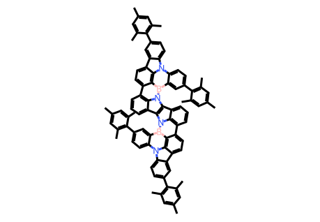 Cc1cc(C)c(-c2ccc3c(c2)B2c4c(ccc5c6cc(-c7c(C)cc(C)cc7C)ccc6n-3c45)-c3cccc4c3n2c2c3cccc5c3n(c42)B2c3cc(-c4c(C)cc(C)cc4C)ccc3-n3c4ccc(-c6c(C)cc(C)cc6C)cc4c4ccc-5c2c43)c(C)c1